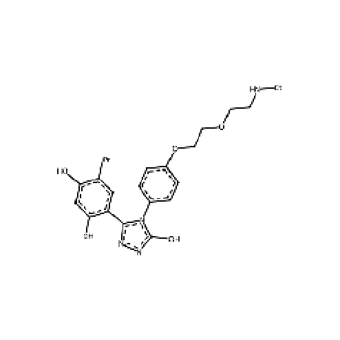 CCNCCOCCOc1ccc(-n2c(O)nnc2-c2cc(C(C)C)c(O)cc2O)cc1